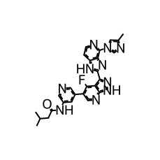 Cc1cn(-c2nccc3[nH]c(-c4n[nH]c5ncc(-c6cncc(NC(=O)CC(C)C)c6)c(F)c45)nc23)cn1